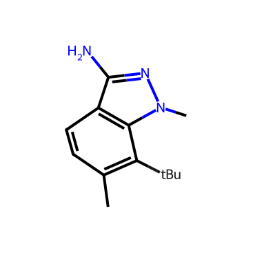 Cc1ccc2c(N)nn(C)c2c1C(C)(C)C